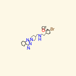 CN(C)c1nc(N2CCC(CNCCc3ccc(Br)cc3OC(F)(F)F)CC2)nc2ccccc12